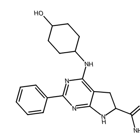 NC(=O)C1Cc2c(NC3CCC(O)CC3)nc(-c3ccccc3)nc2N1